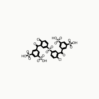 O=C(c1cc(S(=O)(=O)O)cc(S(=O)(=O)O)c1)c1cc(S(=O)(=O)c2ccc(Cl)c(C(=O)c3cc(S(=O)(=O)O)cc(S(=O)(=O)O)c3)c2)ccc1Cl